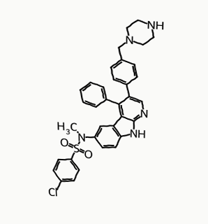 CN(c1ccc2[nH]c3ncc(-c4ccc(CN5CCNCC5)cc4)c(-c4ccccc4)c3c2c1)S(=O)(=O)c1ccc(Cl)cc1